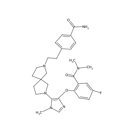 CN(C)C(=O)c1cc(F)ccc1Oc1ncn(C)c1N1CCC2(CCN(CCc3ccc(C(N)=O)cc3)C2)C1